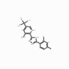 Cc1ccc(-c2nnc(-c3ncc(C(F)(F)F)cc3Cl)o2)c(C)c1